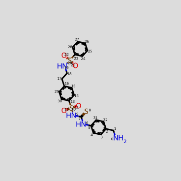 NCc1ccc(NC(=S)NS(=O)(=O)c2ccc(CCNS(=O)(=O)c3ccccc3)cc2)cc1